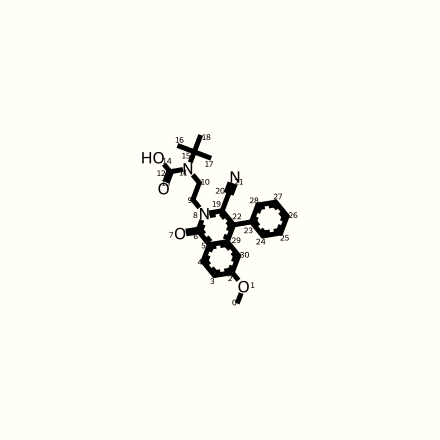 COc1ccc2c(=O)n(CCN(C(=O)O)C(C)(C)C)c(C#N)c(-c3ccccc3)c2c1